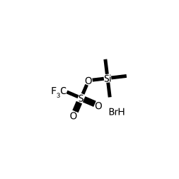 Br.C[Si](C)(C)OS(=O)(=O)C(F)(F)F